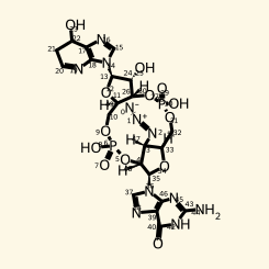 [N-]=[N+]=N[C@H]1[C@H]2OP(=O)(O)OC[C@H]3O[C@@H](n4cnc5c4N=CCC5O)[C@H](O)[C@@H]3OP(=O)(O)OC[C@H]1O[C@H]2n1cnc2c(=O)[nH]c(N)nc21